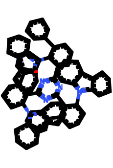 c1ccc(-c2cccc(-n3c4ccccc4c4ccccc43)c2-c2nc(-c3cccc(-c4ccccc4)c3-n3c4ccccc4c4ccccc43)nc(-c3c(-c4ccccc4)cccc3-n3c4ccccc4c4ccccc43)n2)cc1